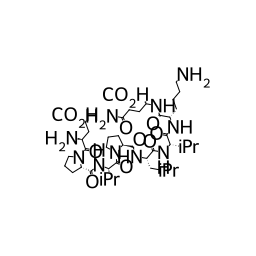 CC(C)C[C@H](NC(=O)[C@@H]1CCCN1C(=O)[C@@H](NC(=O)[C@@H]1CCCN1C(=O)[C@@H](N)CCC(=O)O)C(C)C)C(=O)N[C@H](C(=O)N[C@@H](CCCCN)C(=O)N[C@@H](CCC(N)=O)C(=O)O)C(C)C